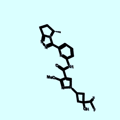 COc1nn(C2CC(O)(C(F)F)C2)cc1C(=O)Nc1cccc(-c2nnc3n2[C@@H](C)CC3)n1